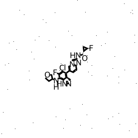 O=C(Nc1cn2cc(-c3c(Cl)c(F)c(NC4CCOC4)c4[nH]ncc34)ccc2n1)[C@@H]1C[C@@H]1F